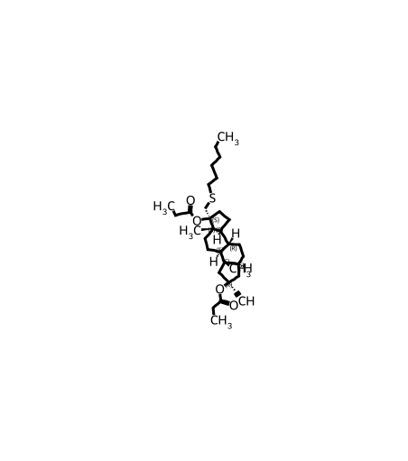 C#C[C@@]1(OC(=O)CC)C[C@@H]2CC[C@@H]3[C@H](CC[C@@]4(C)[C@H]3CC[C@]4(CSCCCCCC)OC(=O)CC)[C@@]2(C)C1